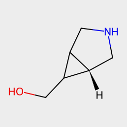 OCC1C2CNC[C@H]12